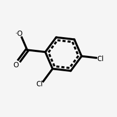 [O]C(=O)c1ccc(Cl)cc1Cl